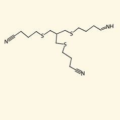 N#CCCCSCC(CSCCCC#N)CSCCCC=N